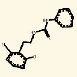 S=C(NCCc1c(Cl)cccc1Cl)Nc1cc[c]cc1